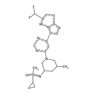 CC1CC(N=S(C)(=O)C2CC2)CN(c2cc(-c3cnc4ccc(C(F)F)nn34)ncn2)C1